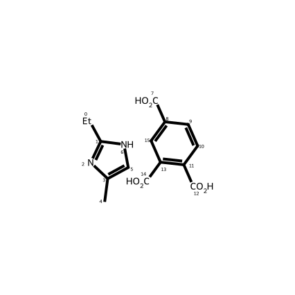 CCc1nc(C)c[nH]1.O=C(O)c1ccc(C(=O)O)c(C(=O)O)c1